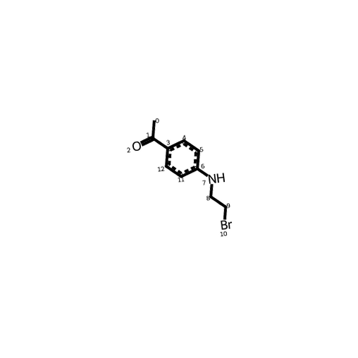 CC(=O)c1ccc(NCCBr)cc1